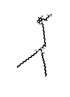 CCCCCCCCCCCCCCCC(=O)OCC(COC(=O)CCCCCCCCCCCCCCC)OC(=O)CC(C)CCCCCCCCCCCC(=O)Oc1c(CC=C(C)CCC(=O)OC)c(OC)c(C)c2c1C(=O)OC2